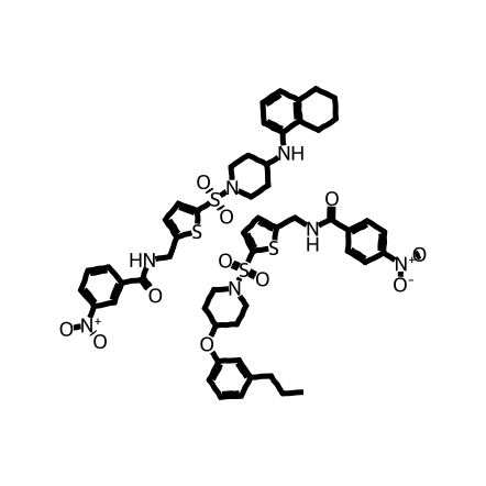 CCCc1cccc(OC2CCN(S(=O)(=O)c3ccc(CNC(=O)c4ccc([N+](=O)[O-])cc4)s3)CC2)c1.O=C(NCc1ccc(S(=O)(=O)N2CCC(Nc3cccc4c3CCCC4)CC2)s1)c1cccc([N+](=O)[O-])c1